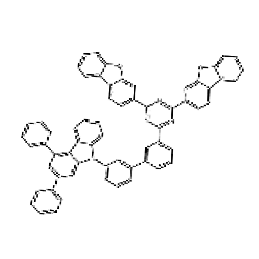 c1ccc(-c2cc(-c3ccccc3)c3c4ccccc4n(-c4cccc(-c5cccc(-c6nc(-c7ccc8c(c7)oc7ccccc78)nc(-c7ccc8c(c7)oc7ccccc78)n6)c5)c4)c3c2)cc1